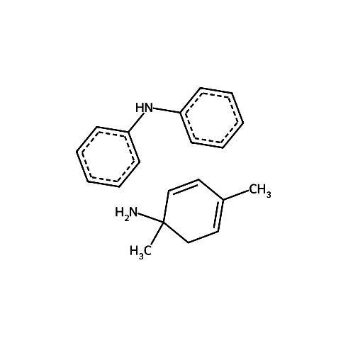 CC1=CCC(C)(N)C=C1.c1ccc(Nc2ccccc2)cc1